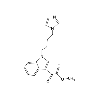 COC(=O)C(=O)c1cn(CCCCn2ccnc2)c2ccccc12